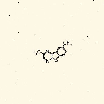 Cc1ccc2sc3ncc(C)nc3c2c1